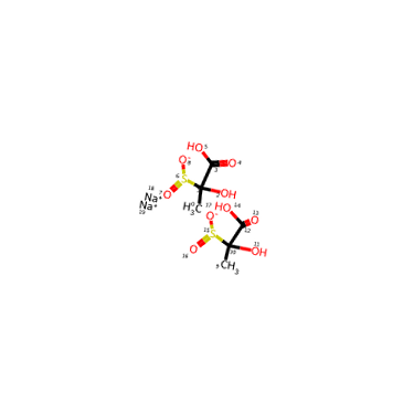 CC(O)(C(=O)O)S(=O)[O-].CC(O)(C(=O)O)S(=O)[O-].[Na+].[Na+]